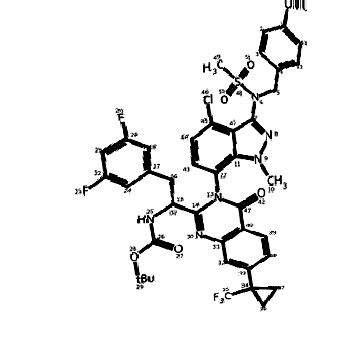 COc1ccc(CN(c2nn(C)c3c(-n4c([C@H](Cc5cc(F)cc(F)c5)NC(=O)OC(C)(C)C)nc5cc(C6(C(F)(F)F)CC6)ccc5c4=O)ccc(Cl)c23)S(C)(=O)=O)cc1